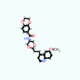 COc1ccc2nccc(CCC3OCC(NC(=O)c4ccc5c(c4)OCCO5)CO3)c2c1